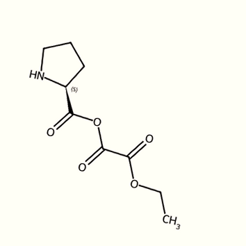 CCOC(=O)C(=O)OC(=O)[C@@H]1CCCN1